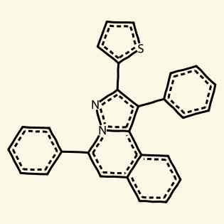 c1ccc(-c2c(-c3cccs3)nn3c(-c4ccccc4)cc4ccccc4c23)cc1